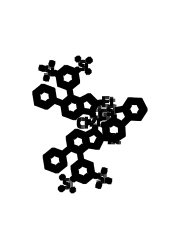 CCC1=Cc2c(ccc(-c3ccccc3)c2-c2cc([Si](C)(C)C)cc([Si](C)(C)C)c2)[CH]1[Zr]([Cl])([Cl])([c]1cccc2c1[SiH2]c1ccccc1-2)[CH]1C(CC)=Cc2c1ccc(-c1ccccc1)c2-c1cc([Si](C)(C)C)cc([Si](C)(C)C)c1